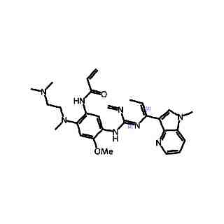 C=CC(=O)Nc1cc(N/C(N=C)=N/C(=C\C)c2cn(C)c3cccnc23)c(OC)cc1N(C)CCN(C)C